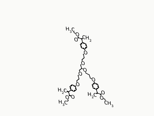 C=C(C(=O)OCC)c1ccc(OCCCOCC(COCCCOc2ccc(C(=C)C(=O)OCC)cc2)OCCCOc2ccc(C(=C)C(=O)OCC)cc2)cc1